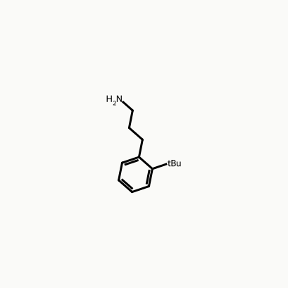 CC(C)(C)c1ccccc1CCCN